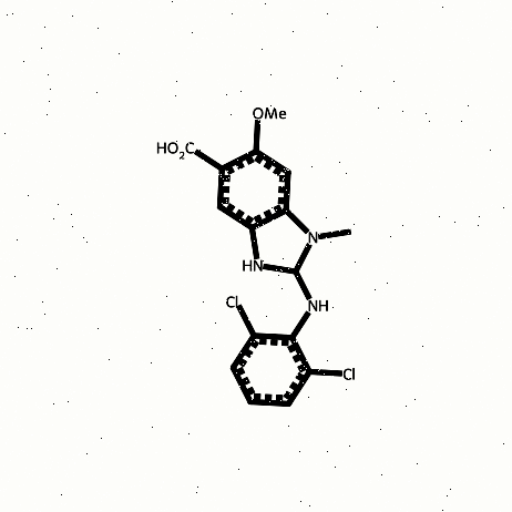 COc1cc2c(cc1C(=O)O)NC(Nc1c(Cl)cccc1Cl)N2C